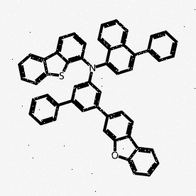 c1ccc(-c2cc(-c3ccc4c(c3)oc3ccccc34)cc(N(c3ccc(-c4ccccc4)c4ccccc34)c3cccc4c3sc3ccccc34)c2)cc1